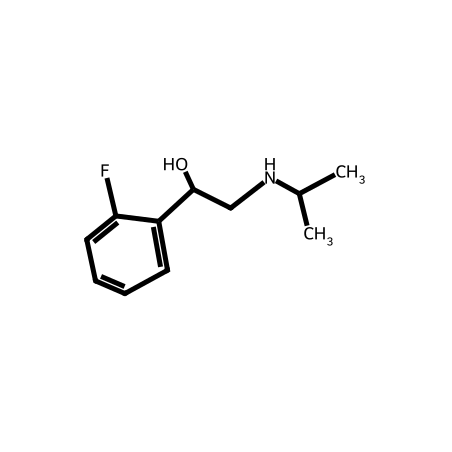 CC(C)NCC(O)c1ccccc1F